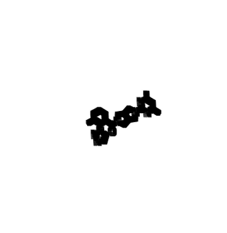 Cc1cc(C)nc(N2CC3CN(C(=O)c4cccc(C)c4-n4ccnn4)CC3C2)n1